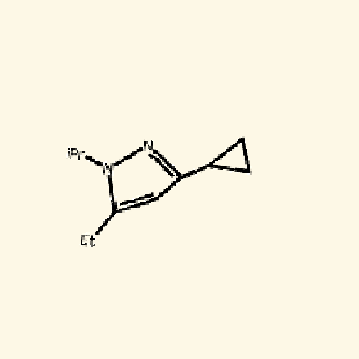 CCc1cc(C2CC2)nn1C(C)C